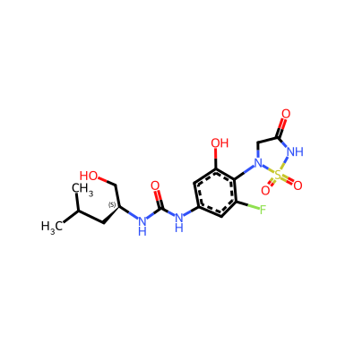 CC(C)C[C@@H](CO)NC(=O)Nc1cc(O)c(N2CC(=O)NS2(=O)=O)c(F)c1